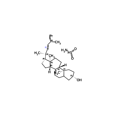 CC(C)[C@@H](C)/C=C/[C@@H](C)[C@H]1CC[C@H]2C3=CCC4C[C@@H](O)CC[C@]4(C)[C@H]3CC[C@]12C.N[SH](=O)=O